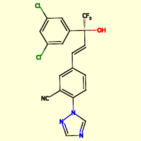 N#Cc1cc(C=C[C@](O)(c2cc(Cl)cc(Cl)c2)C(F)(F)F)ccc1-n1cncn1